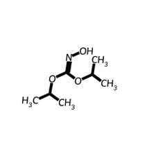 CC(C)OC(=NO)OC(C)C